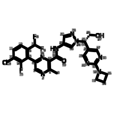 Cc1ncc(-c2c(C(F)F)ccc(Cl)c2F)nc1C(=O)Nc1cnn([C@H](CO)c2cnc(N3CCC3)nc2)c1